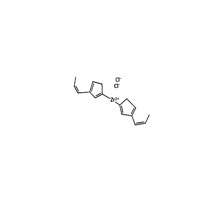 C/C=C\C1=CC[C]([Zr+2][C]2=CC(/C=C\C)=CC2)=C1.[Cl-].[Cl-]